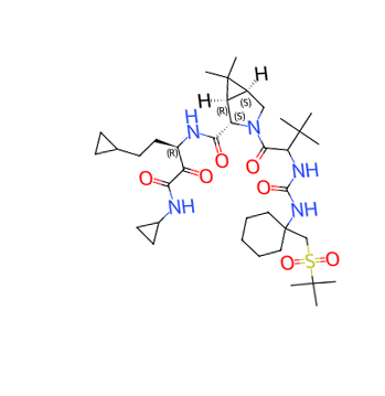 CC(C)(C)C(NC(=O)NC1(CS(=O)(=O)C(C)(C)C)CCCCC1)C(=O)N1C[C@H]2[C@@H]([C@H]1C(=O)N[C@H](CCC1CC1)C(=O)C(=O)NC1CC1)C2(C)C